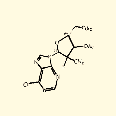 CC(=O)OC[C@H]1O[C@@H](n2cnc3c(Cl)ncnc32)C(C)(F)C1OC(C)=O